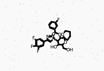 O=C(OC1C(n2cc(-c3cc(F)c(F)c(F)c3)nn2)C(O)C(CO)OC12CCCCO2)c1cccc(F)c1